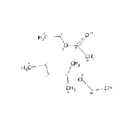 CCCC(C)C.CCOC(C)=O.ClCCl